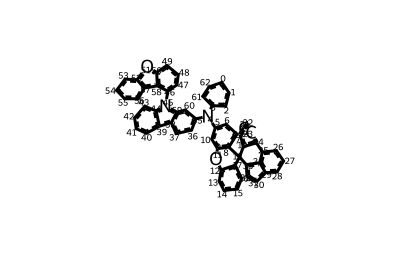 c1ccc(N(c2ccc3c(c2)Oc2ccccc2C32c3ccccc3-c3cccc4cccc2c34)c2ccc3c4ccccc4n(-c4cccc5oc6ccccc6c45)c3c2)cc1